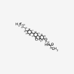 C=CC(=O)NCCOc1ccc(-c2ccc(-c3ccc(CCCCC)cc3)cc2C)cc1